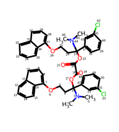 CN(C)C(CCOc1cccc2ccccc12)(OC(=O)C(=O)OC(CCOc1cccc2ccccc12)(c1cccc(Cl)c1)N(C)C)c1cccc(Cl)c1